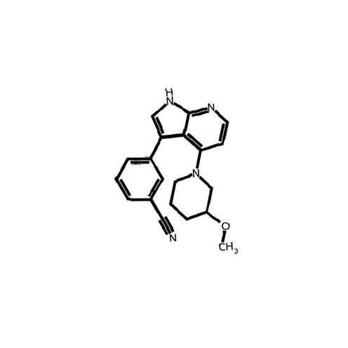 COC1CCCN(c2ccnc3[nH]cc(-c4cccc(C#N)c4)c23)C1